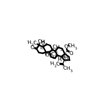 C=C(C)[C@@H]1CC[C@]2(C(=O)OC)CC[C@]3(C)[C@H](CCC4C5(C)CCC(=O)C(C)(C)[C@@H]5CC[C@]43C)[C@@H]12